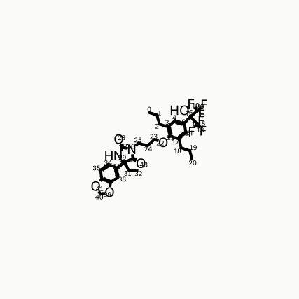 CCCc1cc(C(O)(C(F)(F)F)C(F)(F)F)cc(CCC)c1OCCCN1C(=O)NC(CC)(c2ccc3c(c2)OCO3)C1=O